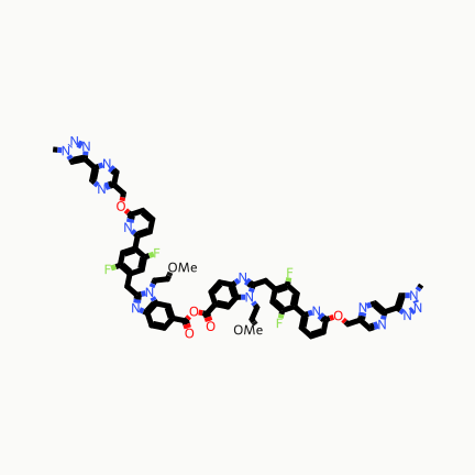 COCCn1c(Cc2cc(F)c(-c3cccc(OCc4cnc(-c5cn(C)nn5)cn4)n3)cc2F)nc2ccc(C(=O)OC(=O)c3ccc4nc(Cc5cc(F)c(-c6cccc(OCc7cnc(-c8cn(C)nn8)cn7)n6)cc5F)n(CCOC)c4c3)cc21